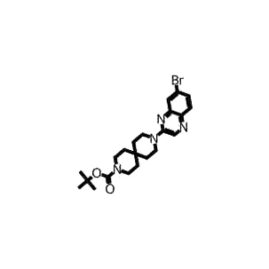 CC(C)(C)OC(=O)N1CCC2(CC1)CCN(c1cnc3ccc(Br)cc3n1)CC2